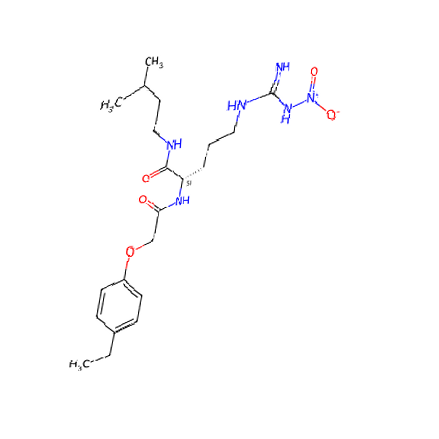 CCc1ccc(OCC(=O)N[C@@H](CCCNC(=N)N[N+](=O)[O-])C(=O)NCCC(C)C)cc1